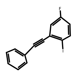 Fc1ccc(I)c(C#Cc2ccccc2)c1